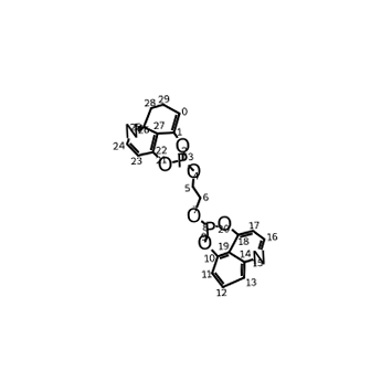 C1=C2OP(OCCOP3Oc4cccc5nccc(c45)O3)Oc3ccnc(c32)CC1